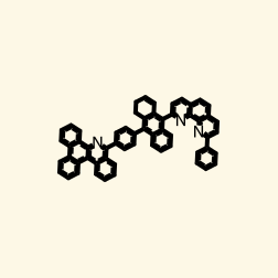 C1=Cc2c(c(-c3ccc(-c4nc5c6ccccc6c6ccccc6c5c5ccccc45)cc3)c3ccccc3c2-c2ccc3ccc4ccc(-c5ccccc5)nc4c3n2)CC1